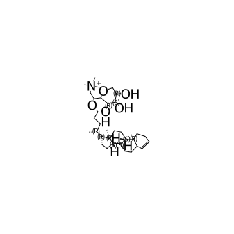 C[C@H](CCCOC(C[N+](C)(C)C)C1OC[C@@H](O)[C@H](O)[C@H]1O)[C@H]1CC[C@H]2[C@@H]3CCC4C=CCC[C@]4(C)[C@H]3CC[C@]12C